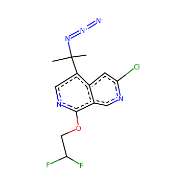 CC(C)(N=[N+]=[N-])c1cnc(OCC(F)F)c2cnc(Cl)cc12